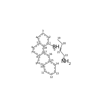 Bc1cccc2ccc3cc4ccccc4cc3c12.CCCCN